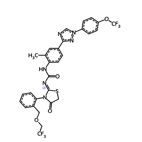 Cc1cc(-c2ncn(-c3ccc(OC(F)(F)F)cc3)n2)ccc1NC(=O)/N=C1\SCC(=O)N1c1ccccc1COCC(F)(F)F